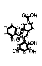 O=C(O)N1CCC(CN(c2cc(Cl)cc(O)c2O)S(=O)(=O)c2ccccc2Br)CC1